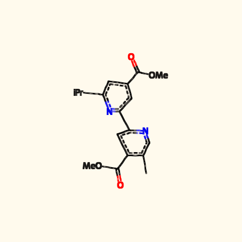 COC(=O)c1cc(-c2cc(C(=O)OC)c(C)cn2)nc(C(C)C)c1